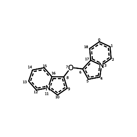 c1ccn2ccc(Oc3ccn4ccccc34)c2c1